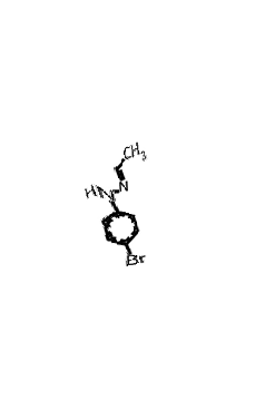 CC=NNc1ccc(Br)cc1